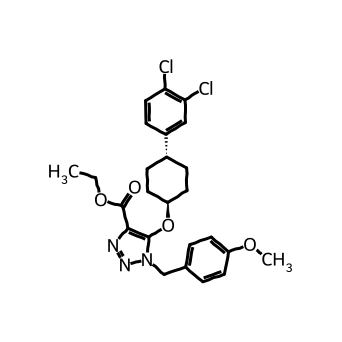 CCOC(=O)c1nnn(Cc2ccc(OC)cc2)c1O[C@H]1CC[C@H](c2ccc(Cl)c(Cl)c2)CC1